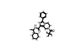 CC(NC(=O)c1nc(-c2ccccc2)n2c1CN(C(=O)C(C)(C)C)CC2)C1CCCCC1